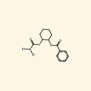 CCN(CC)C(=O)SC1CCCCC1OC(=O)c1ccccc1